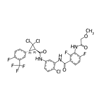 COCC(=O)Nc1c(F)ccc(C(=O)Nc2cc(NC(=O)[C@H]3[C@H](c4ccc(F)c(C(F)(F)F)c4)C3(Cl)Cl)ccc2Cl)c1F